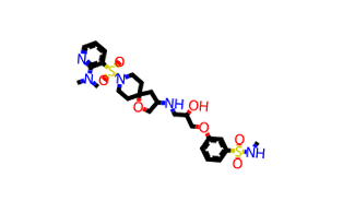 CNS(=O)(=O)c1cccc(OCC(O)CNC2COC3(CCN(S(=O)(=O)c4cccnc4N(C)C)CC3)C2)c1